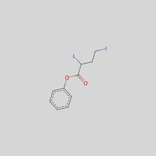 O=C(Oc1ccccc1)C(I)CCI